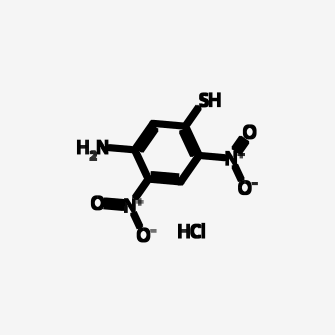 Cl.Nc1cc(S)c([N+](=O)[O-])cc1[N+](=O)[O-]